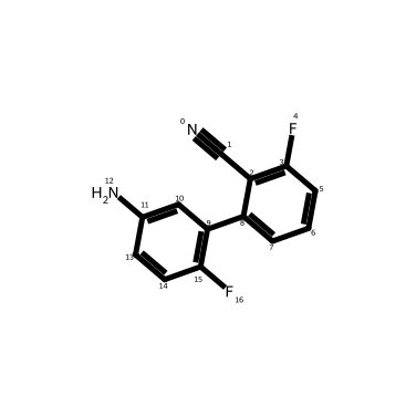 N#Cc1c(F)cccc1-c1cc(N)ccc1F